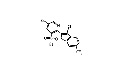 CCS(=O)(=O)c1cc(Br)cnc1-c1[nH]c2cc(C(F)(F)F)cnc2c1Cl